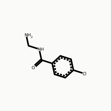 NCNC(=O)c1ccc(Cl)cc1